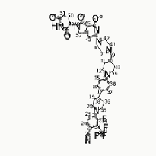 COc1nc(N2CCN(CC3CCN(c4ccc(C5CCN(c6ccc(C#N)c(C(F)(F)F)c6F)CC5)cc4)CC3)CC2)cc2c1C(=O)N(C1CCC(=O)NC1=O)C2